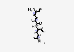 C=C/C(N)=C\C=C(/C)C(=O)N/C(C=C)=C/C=C(\C)N